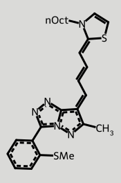 CCCCCCCCN1C=CS\C1=C/C=C/C=c1/c(C)nn2c(-c3ccccc3SC)nnc12